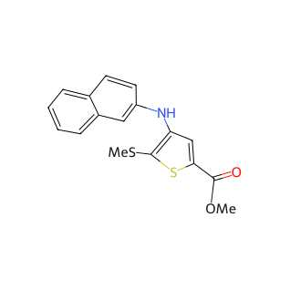 COC(=O)c1cc(Nc2ccc3ccccc3c2)c(SC)s1